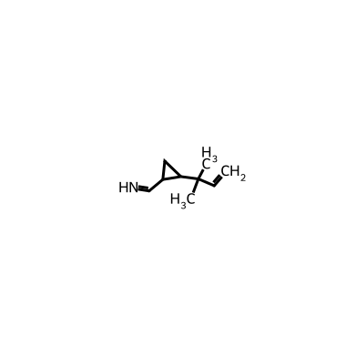 C=CC(C)(C)C1CC1C=N